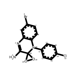 NC1=Nc2cc(Br)ccc2N(c2ccc(Cl)cc2)C12OO2